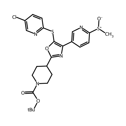 C[S+]([O-])c1ccc(-c2nc(C3CCN(C(=O)OC(C)(C)C)CC3)oc2Sc2ccc(Cl)cn2)cn1